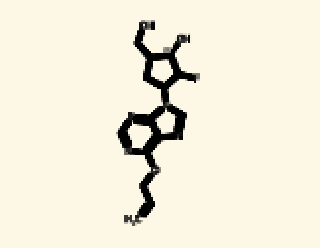 C=CCOc1ncnc2c1ncn2C1CC(CO)[C@@H](O)C1F